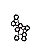 c1ccc(N(c2ccccc2)c2c3ccccc3cc3c4cccc5c6cc7c(cc6n(c23)c54)c2cccc3c4ccccc4n7c32)cc1